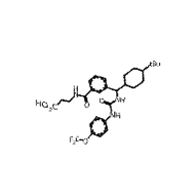 CC(C)(C)C1CCC(C(NC(=O)Nc2ccc(OC(F)(F)F)cc2)c2cccc(C(=O)NCCC(=O)O)c2)CC1